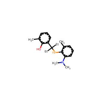 CCC(CC)(Pc1c(C)cccc1N(C)C)c1cccc(C)c1O